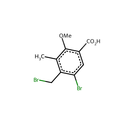 COc1c(C(=O)O)cc(Br)c(CBr)c1C